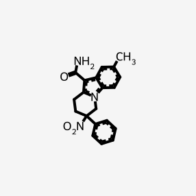 Cc1ccc2c(c1)c(C(N)=O)c1n2CC(c2ccccc2)([N+](=O)[O-])CC1